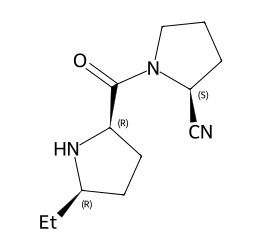 CC[C@@H]1CC[C@H](C(=O)N2CCC[C@H]2C#N)N1